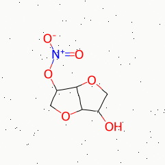 O=[N+]([O-])OC1COC2C(O)COC12